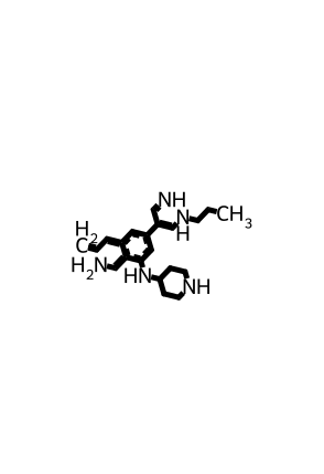 C=C/C=c1/cc(/C(C=N)=C/NCCC)cc(NC2CCNCC2)/c1=C/N